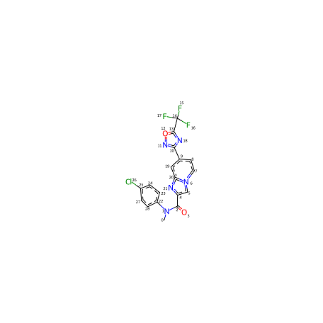 CN(C(=O)c1cn2ccc(-c3noc(C(F)(F)F)n3)cc2n1)c1ccc(Cl)cc1